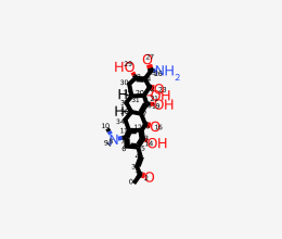 CC(=O)/C=C/c1cc(N(C)C)c2c(c1O)C(=O)C1=C(O)[C@]3(O)C(=O)C(C(N)=O)=C(O)C[C@@H]3C[C@@H]1C2